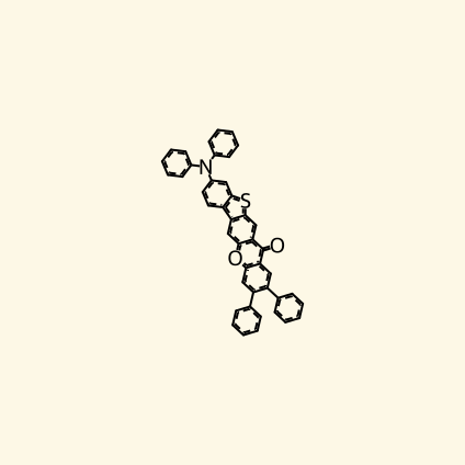 O=c1c2cc(-c3ccccc3)c(-c3ccccc3)cc2oc2cc3c(cc12)sc1cc(N(c2ccccc2)c2ccccc2)ccc13